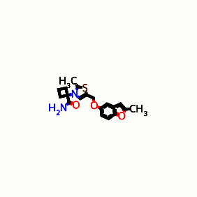 Cc1cc2cc(OCC3=CN(C4(C(N)=O)CCC4)C(C)S3)ccc2o1